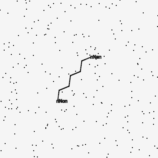 CCCCCC[CH]CCCCCCCCCCCCCCCC